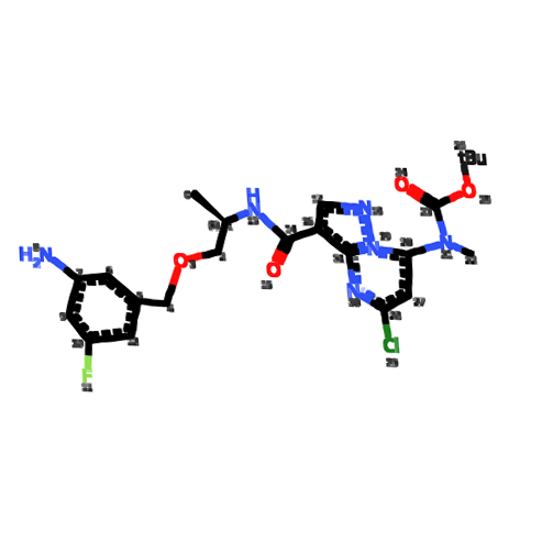 C[C@H](COCc1cc(N)cc(F)c1)NC(=O)c1cnn2c(N(C)C(=O)OC(C)(C)C)cc(Cl)nc12